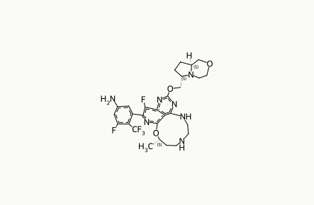 C[C@H]1CCNCCNc2nc(OC[C@@H]3CC[C@H]4COCCN43)nc3c(F)c(-c4cc(N)cc(F)c4C(F)(F)F)nc(c23)O1